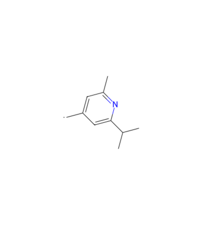 [CH2]c1cc(C)nc(C(C)C)c1